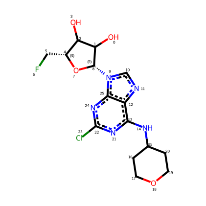 OC1C(O)[C@@H](CF)O[C@H]1n1cnc2c(NC3CCOCC3)nc(Cl)nc21